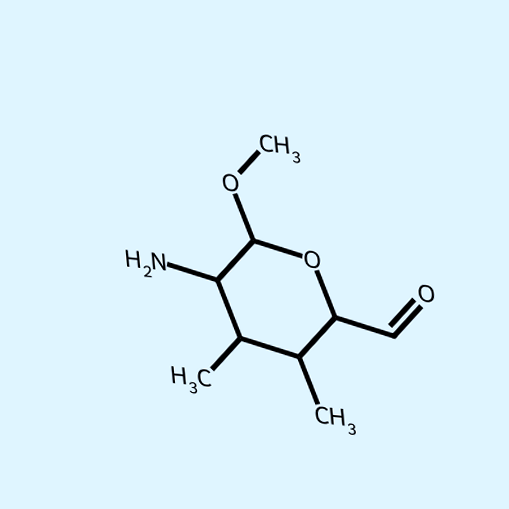 COC1OC(C=O)C(C)C(C)C1N